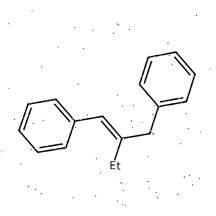 CCC([CH]c1ccccc1)=Cc1ccccc1